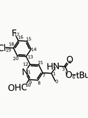 CC(NC(=O)OC(C)(C)C)c1cc(C=O)nc(-c2ccc(F)c(Cl)c2)c1